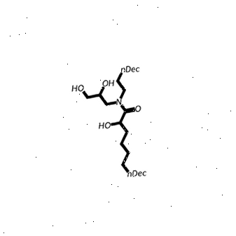 CCCCCCCCCCCCCCC(O)C(=O)N(CCCCCCCCCCCC)CC(O)CO